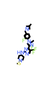 CSN1CCC(Nc2ncc(C(F)(F)F)c(-c3cn(-c4ccc(CN5CC(C)C5)cc4F)c(C)n3)n2)CC1